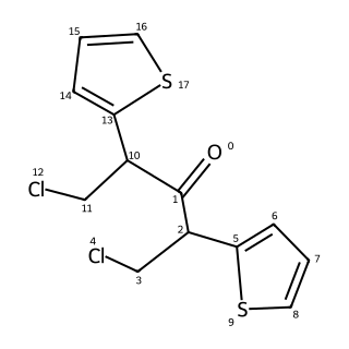 O=C(C(CCl)c1cccs1)C(CCl)c1cccs1